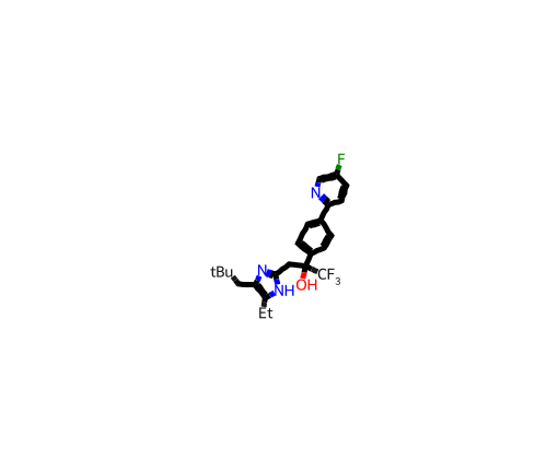 CCc1[nH]c(CC(O)(c2ccc(-c3ccc(F)cn3)cc2)C(F)(F)F)nc1CC(C)(C)C